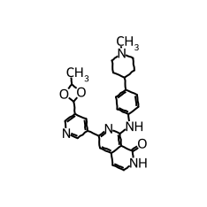 CC1OC(c2cncc(-c3cc4cc[nH]c(=O)c4c(Nc4ccc(C5CCN(C)CC5)cc4)n3)c2)O1